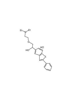 CCN(CC)CCOCC(O)c1ccc2sc(-c3ccccc3)cc2c1.Cl